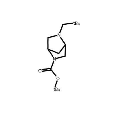 CC(C)(C)CN1CC2CC1CN2C(=O)OC(C)(C)C